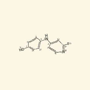 Oc1ccc(Nc2ccnc(F)c2)cc1